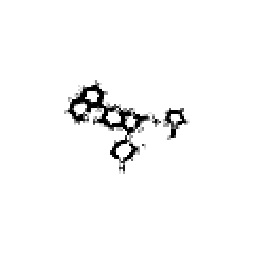 C[C@@H]1CNCCN1c1nc(OC[C@@H]2CCCN2C)nc2nc(-c3cccc4cccnc34)c(F)cc12